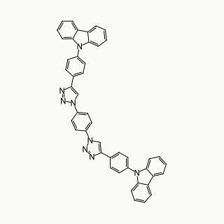 c1ccc2c(c1)c1ccccc1n2-c1ccc(-c2cn(-c3ccc(-n4cc(-c5ccc(-n6c7ccccc7c7ccccc76)cc5)nn4)cc3)nn2)cc1